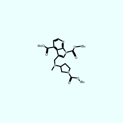 COC(=O)c1ccnc2c1c(CN(C)C1CCN(C(=O)OC(C)(C)C)C1)cn2C(=O)OC(C)(C)C